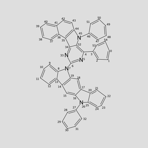 c1ccc(-c2nc(-n3c4ccccc4c4cc5c(cc43)c3ccccc3n5-c3ccccc3)nc3c4c5ccccc5ccc4n(-c4ccccc4)c23)cc1